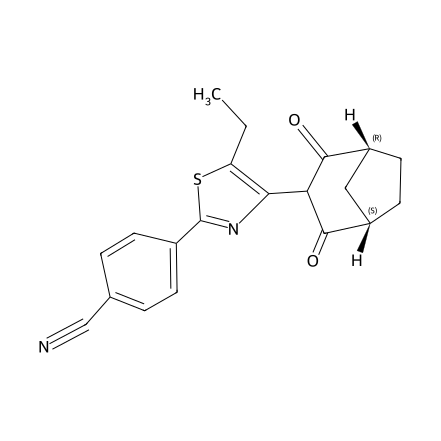 CCc1sc(-c2ccc(C#N)cc2)nc1C1C(=O)[C@@H]2CC[C@@H](C2)C1=O